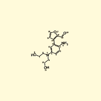 Nc1ccc(N(CCO)CCO)cc1-c1ccoc1C=O